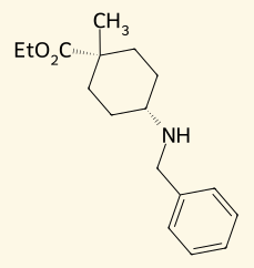 CCOC(=O)[C@]1(C)CC[C@H](NCc2ccccc2)CC1